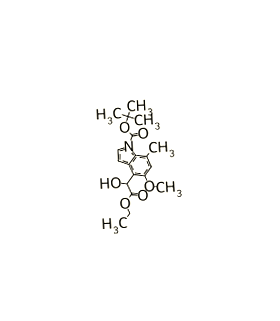 CCOC(=O)C(O)c1c(OC)cc(C)c2c1ccn2C(=O)OC(C)(C)C